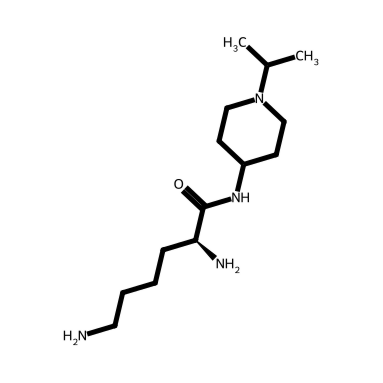 CC(C)N1CCC(NC(=O)[C@@H](N)CCCCN)CC1